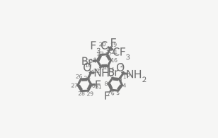 NC(=O)c1ccc(F)cc1.O=C(Nc1c(Br)cc(C(F)(C(F)(F)F)C(F)(F)F)cc1Br)c1ccccc1F